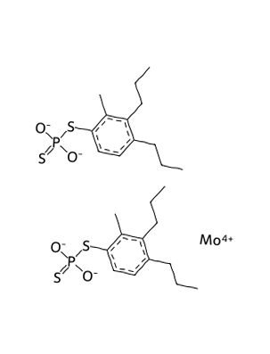 CCCc1ccc(SP([O-])([O-])=S)c(C)c1CCC.CCCc1ccc(SP([O-])([O-])=S)c(C)c1CCC.[Mo+4]